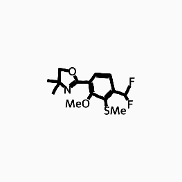 COc1c(C2=NC(C)(C)CO2)ccc(C(F)F)c1SC